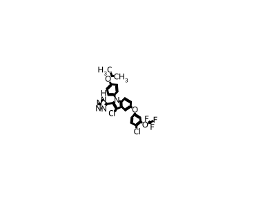 CC(C)Oc1ccc(-n2c(-c3nnn[nH]3)c(Cl)c3cc(Oc4ccc(Cl)c(OC(F)(F)F)c4)ccc32)cc1